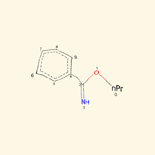 CCCOC(=N)c1cc[c]cc1